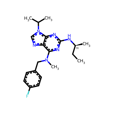 CC[C@H](C)Nc1nc(N(C)Cc2ccc(F)cc2)c2ncn(C(C)C)c2n1